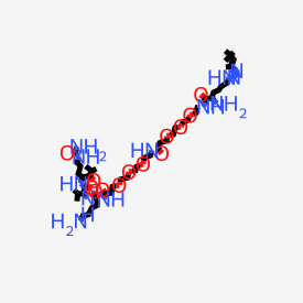 CC(=C\C(C)(C)C)/N=N\NCCCCC(N)C(=O)NCCOCCOCCOCCC(=O)NCCOCCOCCOCCC(=O)NC(CCCCN)C(=O)NC(C(=O)NC(CCCNC(N)=O)C(=O)C(C)C)C(C)C